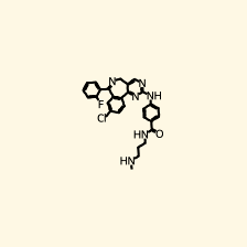 CNCCCNC(=O)c1ccc(Nc2ncc3c(n2)-c2ccc(Cl)cc2C(c2ccccc2F)=NC3)cc1